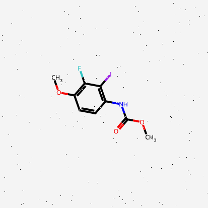 COC(=O)Nc1ccc(OC)c(F)c1I